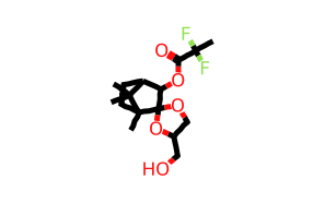 CC(F)(F)C(=O)OC1C2CCC(C)(C2(C)C)C12OCC(CO)O2